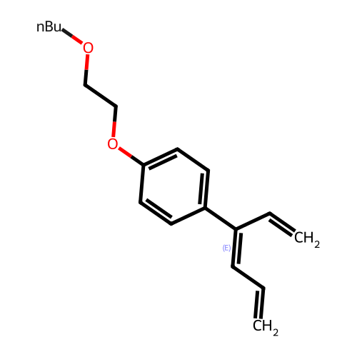 C=C/C=C(\C=C)c1ccc(OCCOCCCC)cc1